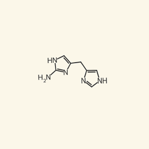 Nc1nc(Cc2c[nH]cn2)c[nH]1